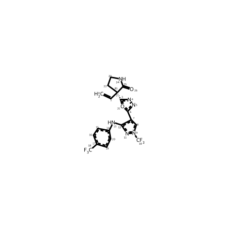 C=C[C@@]1(c2nnc(-c3cn(C(F)(F)F)nc3Nc3ccc(C(F)(F)F)cc3)o2)CCNC1=O